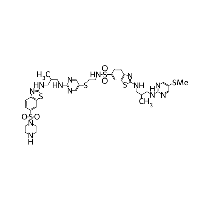 CSc1cnc(NCC(C)CNc2nc3ccc(S(=O)(=O)NCCSc4cnc(NCC(C)CNc5nc6ccc(S(=O)(=O)N7CCNCC7)cc6s5)nc4)cc3s2)nc1